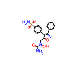 NC(=O)N(O)Cc1onc(-c2ccccc2)c1-c1ccc(S(N)(=O)=O)cc1